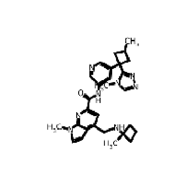 CC1CC(c2cncc(NC(=O)c3cc(CNC4(C)CCC4)c4ccn(C)c4n3)c2)(c2nncn2C)C1